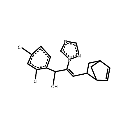 OC(C(=CC1CC2C=CC1C2)n1cncn1)c1ccc(Cl)cc1Cl